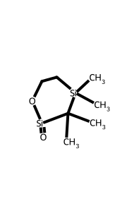 CC1(C)[Si](=O)OCC[Si]1(C)C